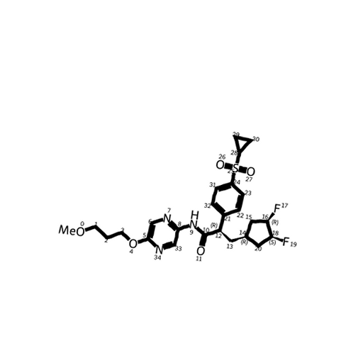 COCCCOc1cnc(NC(=O)[C@H](C[C@H]2C[C@@H](F)[C@@H](F)C2)c2ccc(S(=O)(=O)C3CC3)cc2)cn1